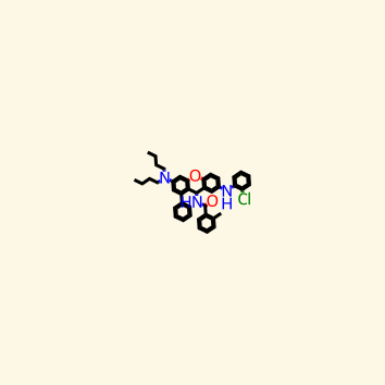 CCCCN(CCCC)c1cc2c(c(-c3ccccc3)c1)C(NC(=O)c1ccccc1C)c1cc(Nc3ccccc3Cl)ccc1O2